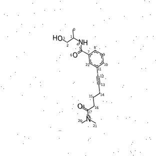 CC(CO)NC(=O)c1cccc(C#CCCCC(=O)N(C)C)c1